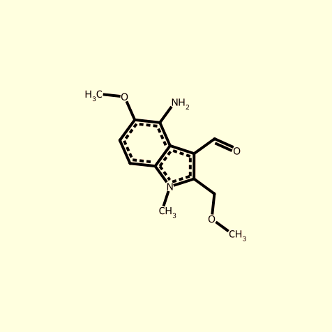 COCc1c(C=O)c2c(N)c(OC)ccc2n1C